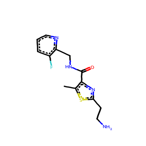 Cc1sc(CCN)nc1C(=O)NCc1ncccc1F